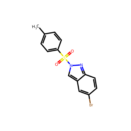 Cc1ccc(S(=O)(=O)n2cc3cc(Br)ccc3n2)cc1